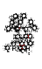 CC(C)(C)c1cc2c3c(c1)N(c1c(-c4ccccc4)cccc1-c1ccccc1)c1ccc(-c4cc(-n5c6ccccc6c6ccccc65)cc(-n5c6ccccc6c6cc7oc8ccccc8c7cc65)n4)cc1B3c1cc(-c3cccc(-n4c5ccccc5c5cc6oc7ccccc7c6cc54)n3)ccc1N2c1ccc(-c2ccccc2)cc1-c1ccccc1